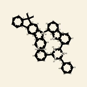 CC1(C)c2ccccc2-c2cc3c4cnccc4n(-c4cccc5c4oc4c(-c6nc(-c7ccccc7)nc(-c7ccccc7)n6)cccc45)c3cc21